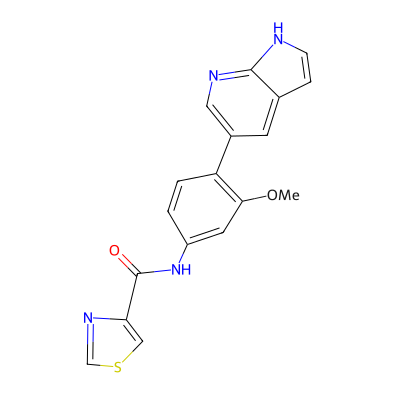 COc1cc(NC(=O)c2cscn2)ccc1-c1cnc2[nH]ccc2c1